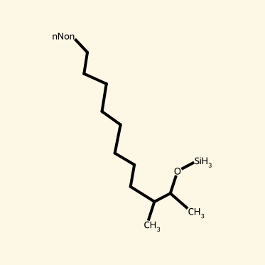 CCCCCCCCCCCCCCCCCC(C)C(C)O[SiH3]